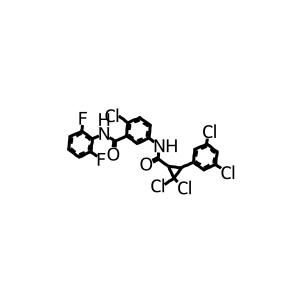 O=C(Nc1c(F)cccc1F)c1cc(NC(=O)C2C(c3cc(Cl)cc(Cl)c3)C2(Cl)Cl)ccc1Cl